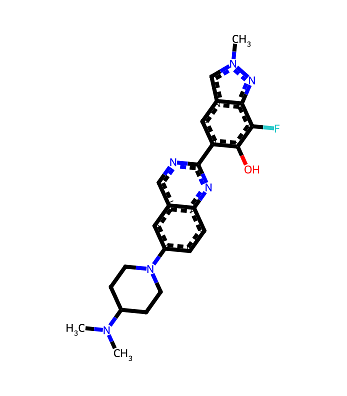 CN(C)C1CCN(c2ccc3nc(-c4cc5cn(C)nc5c(F)c4O)ncc3c2)CC1